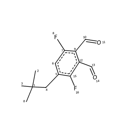 CC(C)(C)Cc1cc(F)c(C=O)c(C=O)c1F